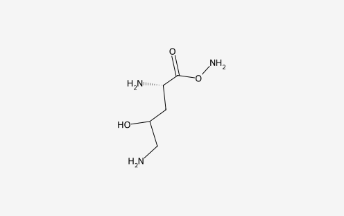 NCC(O)C[C@H](N)C(=O)ON